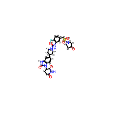 Cn1c(=O)n(C2CCC(=O)NC2=O)c2ccc(C3CCN(C(=O)Nc4cc(CS(=O)(=O)N5CCC(=O)CC5)ccc4F)CC3)cc21